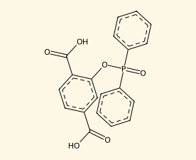 O=C(O)c1ccc(C(=O)O)c(OP(=O)(c2ccccc2)c2ccccc2)c1